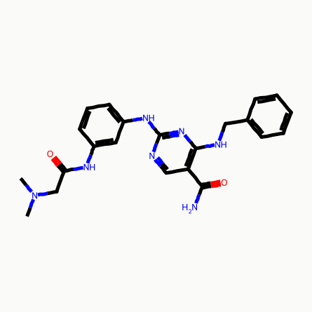 CN(C)CC(=O)Nc1cccc(Nc2ncc(C(N)=O)c(NCc3ccccc3)n2)c1